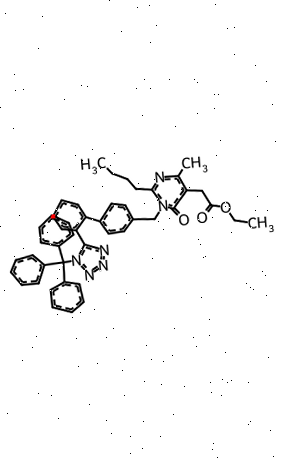 CCCCc1nc(C)c(CC(=O)OCC)c(=O)n1Cc1ccc(-c2ccccc2-c2nnnn2C(c2ccccc2)(c2ccccc2)c2ccccc2)cc1